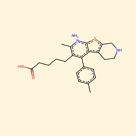 Cc1ccc(-c2c(CCCCC(=O)O)c(C)nc3sc4c(c23)CCNC4)cc1.N